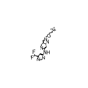 C[Si](C)(C)CCOCn1cc2cnc(Nc3cc(C(F)F)ncn3)cc2n1